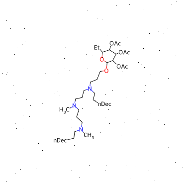 CCCCCCCCCCCCN(C)CCCN(C)CCCN(CCCCCCCCCCCC)CCCOC1OC(CC)C(OC(C)=O)C(OC(C)=O)C1OC(C)=O